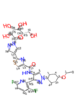 CCOC1CCC(n2cc(NC(=O)c3csc(-c4cnn([C@H]5O[C@@H](CO)[C@H](O)[C@@H](O)[C@@H]5O)c4)n3)c(-c3nc(F)ccc3F)n2)CC1